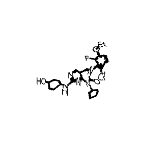 CCOc1ccc(Cl)c(N2Cc3cnc(NC4CCC(O)CC4)nc3N(C3CCCC3)C2=O)c1F